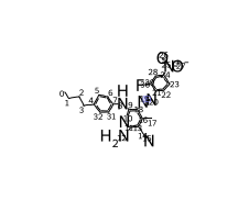 CCCCc1ccc(Nc2nc(N)c(C#N)c(C)c2/N=N/c2ccc([N+](=O)[O-])cc2F)cc1